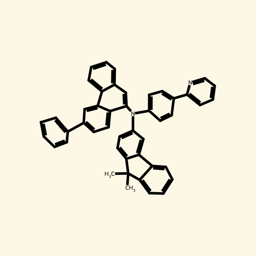 CC1(C)c2ccccc2-c2cc(N(c3ccc(-c4ccccn4)cc3)c3cc4ccccc4c4cc(-c5ccccc5)ccc34)ccc21